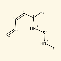 C=C/C=C\C(C)NSNC